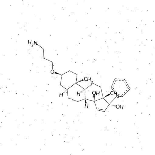 C[C@]12CC[C@H](OCCCN)C[C@@H]1CC[C@@H]1[C@@H]2CC[C@]2(C)[C@@](O)(c3ccccc3)C=C[C@]12O